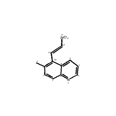 Cc1ccc2ncccc2c1C=C[N+](=O)[O-]